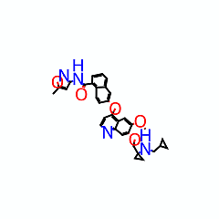 COc1cc2c(Oc3ccc4c(C(=O)Nc5cc(C)on5)cccc4c3)ccnc2cc1OCC1(NCC2CC2)CC1